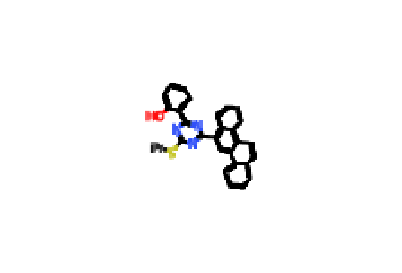 CC(C)Sc1nc(-c2ccccc2O)nc(-c2cc3c4ccccc4ccc3c3ccccc23)n1